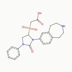 O=C(O)CS(=O)(=O)C1CN(c2ccccc2)C(=O)N1c1ccc2c(c1)CCNCC2